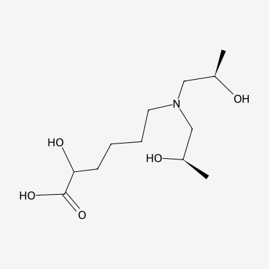 C[C@@H](O)CN(CCCCC(O)C(=O)O)C[C@@H](C)O